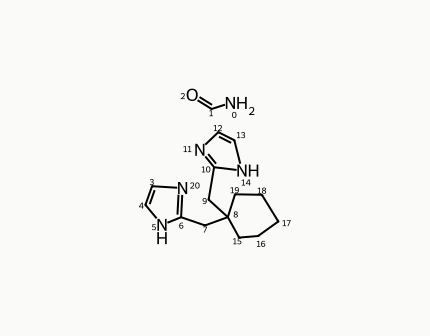 NC=O.c1c[nH]c(CC2(Cc3ncc[nH]3)CCCCC2)n1